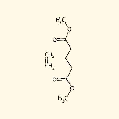 C=C.COC(=O)CCCC(=O)OC